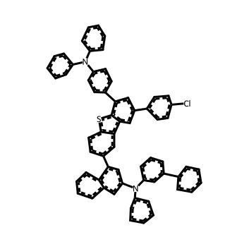 Clc1ccc(-c2cc(-c3ccc(N(c4ccccc4)c4ccccc4)cc3)c3sc4ccc(-c5cc(N(c6ccccc6)c6cccc(-c7ccccc7)c6)cc6ccccc56)cc4c3c2)cc1